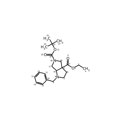 CCOC(=O)C12CCN(Cc3ccccc3)C1CN(C(=O)OC(C)(C)C)C2